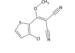 COC(=C(C#N)C#N)c1sccc1Cl